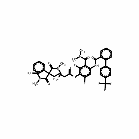 CCN(C)C(=O)C(CCCC(=O)Oc1c(F)cc(NC(=O)c2ccccc2-c2ccc(C(F)(F)F)cc2)c(C(=O)N(C)C)c1F)(C(=O)N(C)CC)c1ccccc1